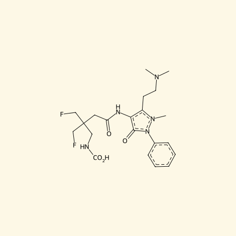 CN(C)CCc1c(NC(=O)CC(CF)(CF)CNC(=O)O)c(=O)n(-c2ccccc2)n1C